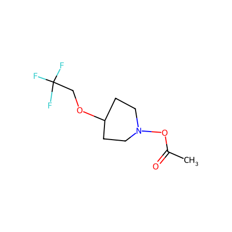 CC(=O)ON1CCC(OCC(F)(F)F)CC1